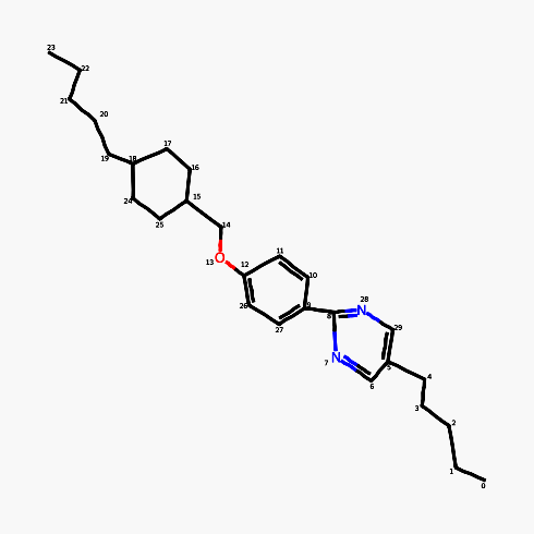 CCCCCc1cnc(-c2ccc(OCC3CCC(CCCCC)CC3)cc2)nc1